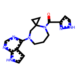 O=C(c1cc[nH]n1)N1CCCN(c2ncnc3[nH]ccc23)CC12CC2